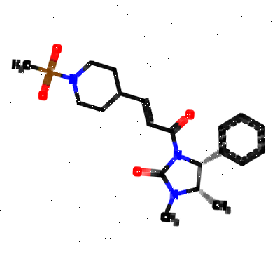 C[C@H]1[C@@H](c2ccccc2)N(C(=O)C=CC2CCN(S(C)(=O)=O)CC2)C(=O)N1C